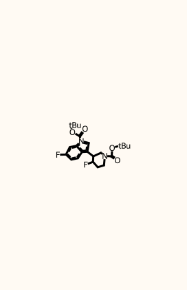 CC(C)(C)OC(=O)N1CCC(F)C(c2cn(C(=O)OC(C)(C)C)c3cc(F)ccc23)C1